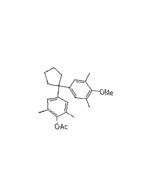 COc1c(C)cc(C2(c3cc(C)c(OC(C)=O)c(C)c3)CCCC2)cc1C